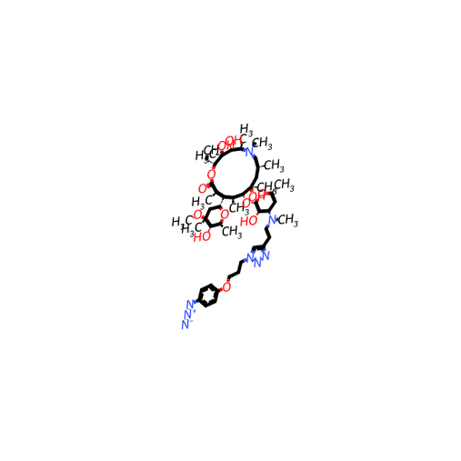 CC[C@H]1OC(=O)[C@H](C)C([C@H]2C[C@@](C)(OC)[C@@H](O)[C@H](C)O2)[C@H](C)[C@@H](O[C@@H]2O[C@H](C)C[C@H](N(C)CCc3cn(CCCOc4ccc(N=[N+]=[N-])cc4)nn3)[C@H]2O)[C@](C)(O)C[C@@H](C)CN(C)[C@H](C)[C@@H](O)[C@]1(C)O